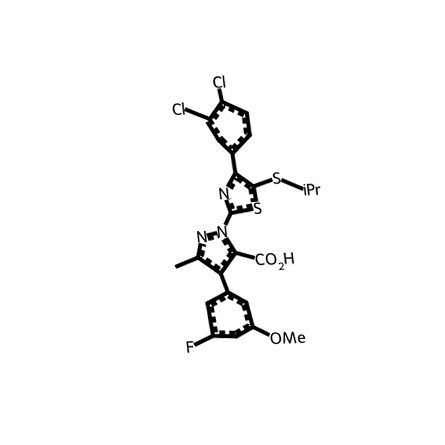 COc1cc(F)cc(-c2c(C)nn(-c3nc(-c4ccc(Cl)c(Cl)c4)c(SC(C)C)s3)c2C(=O)O)c1